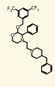 FC(F)(F)c1cc(COC2OCCN(CCN3CCC(Cc4ccccc4)CC3)C2c2ccccc2)cc(C(F)(F)F)c1